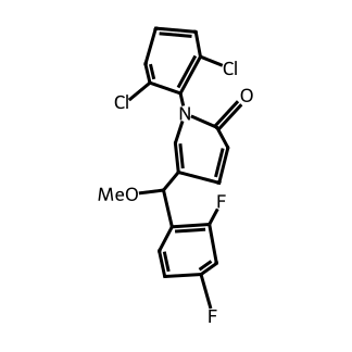 COC(c1ccc(=O)n(-c2c(Cl)cccc2Cl)c1)c1ccc(F)cc1F